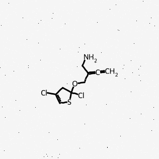 C=C=C(CN)COC1(Cl)CC(Cl)=CS1